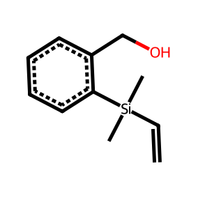 C=C[Si](C)(C)c1ccccc1CO